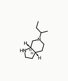 CCC(C)N1CC[C@@H]2CCN[C@@H]2C1